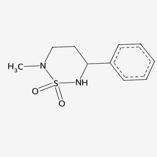 CN1CCC(c2ccccc2)NS1(=O)=O